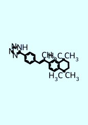 CC(=Cc1ccc(-c2nnn[nH]2)cc1)c1ccc2c(c1)C(C)(C)CCC2(C)C